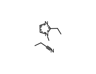 CCC#N.CCc1nccn1C